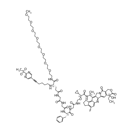 CC[C@@]1(O)C(=O)OCc2c1cc1n(c2=O)Cc2c-1nc1cc(F)c3c(c1c2[C@H](C)NC(=O)[C@@H](OCNC(=O)CNC(=O)[C@H](Cc1ccccc1)NC(=O)CNC(=O)CNC(=O)CC[C@H](NCCCCC#Cc1cnc(S(C)(=O)=O)nc1)C(=O)NCCOCCOCCOCCOCCOCCOCCOCCOC)C1CC1)CCC3